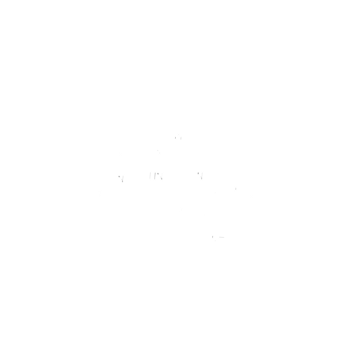 Cc1nc(NC(=O)c2ccccc2NC(C)C)sc1C